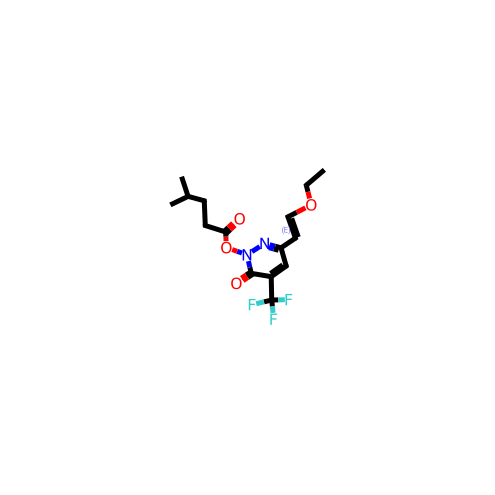 CCO/C=C/c1cc(C(F)(F)F)c(=O)n(OC(=O)CCC(C)C)n1